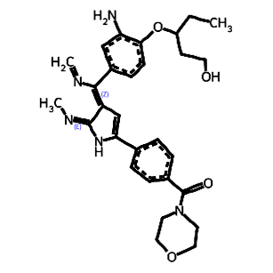 C=N/C(=C1/C=C(c2ccc(C(=O)N3CCOCC3)cc2)N/C1=N/C)c1ccc(OC(CC)CCO)c(N)c1